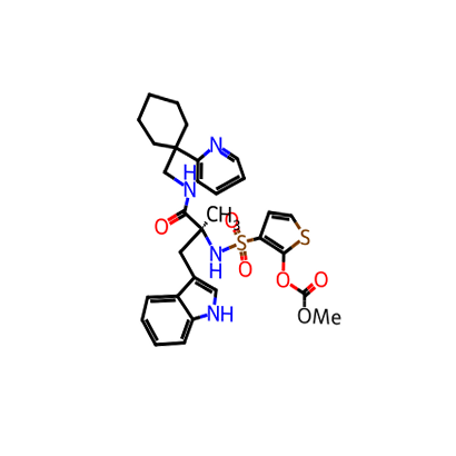 COC(=O)Oc1sccc1S(=O)(=O)N[C@@](C)(Cc1c[nH]c2ccccc12)C(=O)NCC1(c2ccccn2)CCCCC1